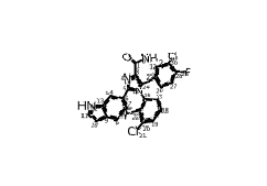 NC(=O)c1nc(-c2ccc3cc[nH]c3c2)n(-c2cccc(Cl)c2F)c1-c1ccc(F)c(Cl)c1